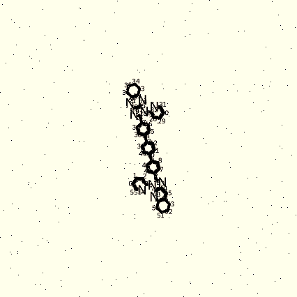 c1ccc(-n2c(-c3ccc(-c4ccc(-c5ccc(-c6nc7nc8c(nc7n6-c6ccccn6)CCCC8)cc5)cc4)cc3)nc3cc4c(nc32)CCCC4)nc1